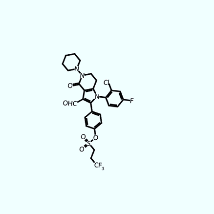 O=Cc1c2c(n(-c3ccc(F)cc3Cl)c1-c1ccc(OS(=O)(=O)CCC(F)(F)F)cc1)CCN(N1CCCCC1)C2=O